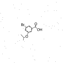 CC(C)Oc1cc(Br)cc(C(=O)O)c1